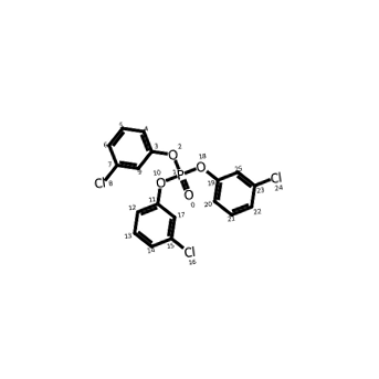 O=P(Oc1cccc(Cl)c1)(Oc1cccc(Cl)c1)Oc1cccc(Cl)c1